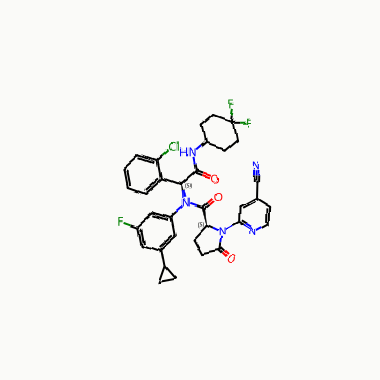 N#Cc1ccnc(N2C(=O)CC[C@H]2C(=O)N(c2cc(F)cc(C3CC3)c2)[C@H](C(=O)NC2CCC(F)(F)CC2)c2ccccc2Cl)c1